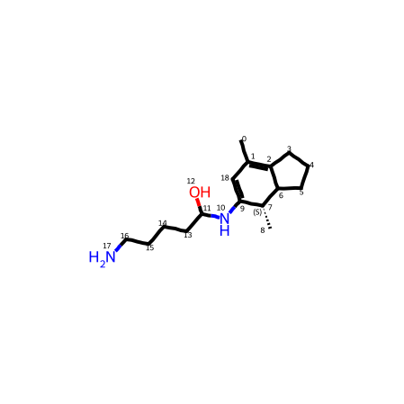 CC1=C2CCCC2[C@H](C)C(NC(O)CCCCN)=C1